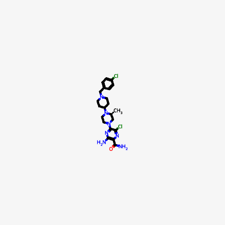 C[C@H]1CN(c2nc(N)c(C(N)=O)nc2Cl)CCN1C1CCN(Cc2ccc(Cl)cc2)CC1